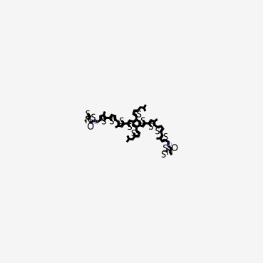 Cc1cc(/C=C2\SC(=S)N(C)C2=O)sc1-c1ccc(-c2sc(-c3cc4c(-c5ccc(CC(C)C)s5)c5sc(-c6cc(C)c(-c7ccc(-c8sc(/C=C9\SC(=S)N(C)C9=O)cc8C)s7)s6)cc5c(-c5ccc(CC(C)C)s5)c4s3)cc2C)s1